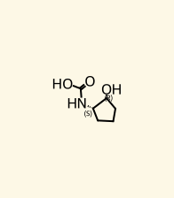 O=C(O)N[C@H]1CCC[C@H]1O